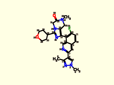 Cc1nn(C)cc1-c1cc2ccc(F)c(-c3nc(C4CCOCC4)n4c3CN(C)C(=O)C4)c2cn1